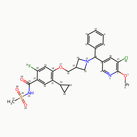 CC(C)Oc1ncc(C(c2ccccc2)N2CC(COc3cc(F)c(C(=O)NS(C)(=O)=O)cc3C3CC3)C2)cc1Cl